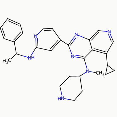 CC(Nc1cc(-c2nc(N(C)C3CCNCC3)c3c(C4CC4)cncc3n2)ccn1)c1ccccc1